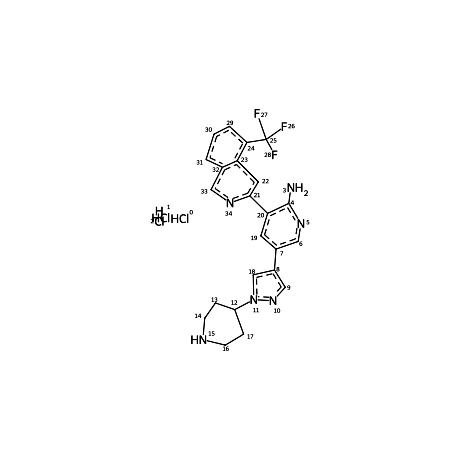 Cl.Cl.Cl.Nc1ncc(-c2cnn(C3CCNCC3)c2)cc1-c1cc2c(C(F)(F)F)cccc2cn1